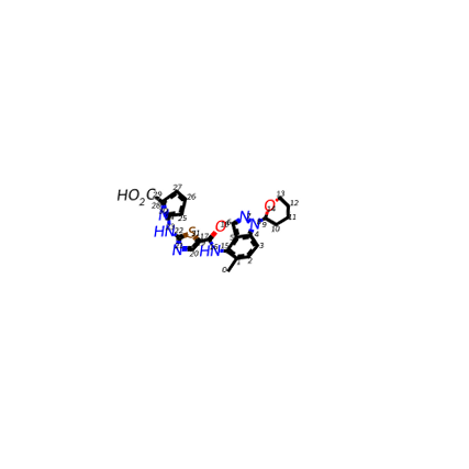 Cc1ccc2c(cnn2C2CCCCO2)c1NC(=O)c1cnc(Nc2cccc(C(=O)O)n2)s1